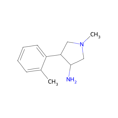 Cc1ccccc1C1CN(C)CC1N